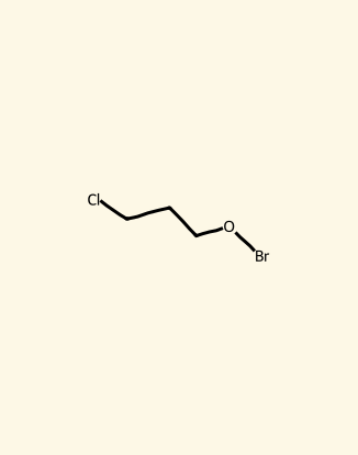 ClCCCOBr